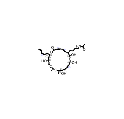 C=C/C=C\[C@H](C)[C@@H]1OC(=O)/C=C\C=C\C(CCCCNC(C)=O)[C@@H](O)C[C@H](O)/C=C\[C@H](C)[C@H](O)[C@@H](C)C[C@@H](C)CC[C@@H](O)[C@@H]1C